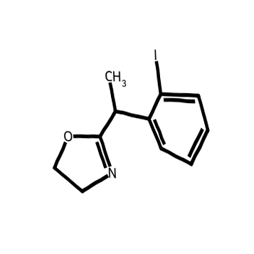 CC(C1=NCCO1)c1ccccc1I